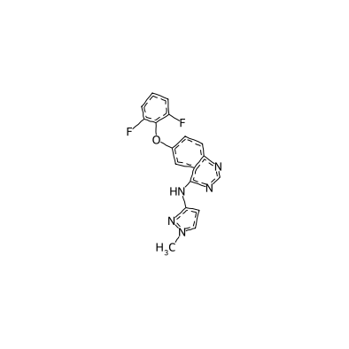 Cn1ccc(Nc2ncnc3ccc(Oc4c(F)cccc4F)cc23)n1